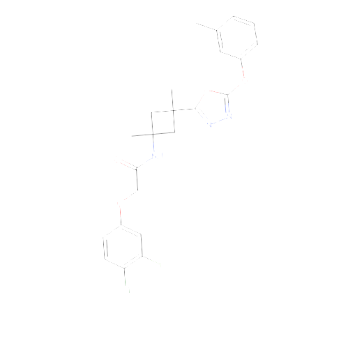 Cc1cccc(Oc2nnc(C3(C)CC(C)(NC(=O)COc4ccc(Cl)c(F)c4)C3)o2)c1